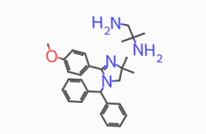 CC(C)(N)CN.COc1ccc(C2=NC(C)(C)CN2C(c2ccccc2)c2ccccc2)cc1